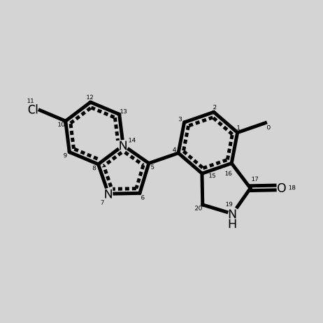 Cc1ccc(-c2cnc3cc(Cl)ccn23)c2c1C(=O)NC2